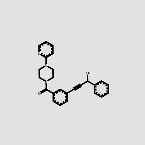 O=C(c1cccc(C#CC(O)c2ccccc2)c1)N1CCN(c2ccccn2)CC1